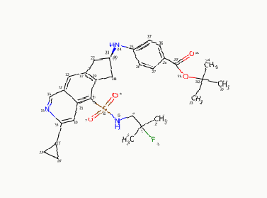 CC(C)(F)CNS(=O)(=O)c1c2c(cc3cnc(C4CC4)cc13)C[C@@H](Nc1ccc(C(=O)OC(C)(C)C)cc1)C2